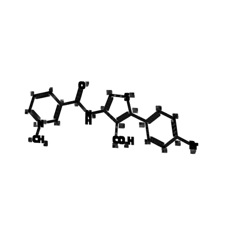 C[n+]1cccc(C(=O)Nc2csc(-c3ccc(Br)cc3)c2C(=O)O)c1